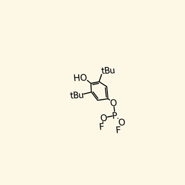 CC(C)(C)c1cc(OP(OF)OF)cc(C(C)(C)C)c1O